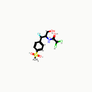 CS(=O)(=O)c1ccc(C(F)C(CO)NC(=O)C(Cl)Cl)cc1